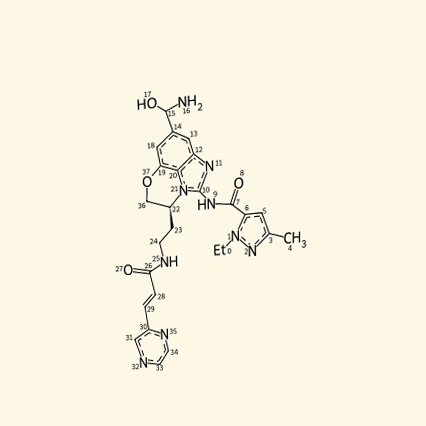 CCn1nc(C)cc1C(=O)Nc1nc2cc(C(N)O)cc3c2n1[C@@H](CCNC(=O)/C=C/c1cnccn1)CO3